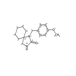 COc1ccc(CN2C(=O)NCC23CCCCC3)cc1